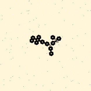 c1ccc(-c2ccc(N(c3ccc(-c4ccc(-c5c6ccccc6c(-c6cccc7ccccc67)c6ccccc56)cc4)cc3)c3ccc(-c4nc5ccccc5n4-c4ccccc4)cc3)cc2)cc1